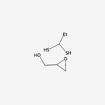 CCC(S)S.OCC1CO1